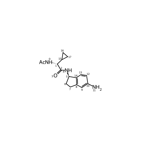 CC(=O)N[C@@H](C(=O)N[C@@H]1CCc2cc(N)ccc21)C1CC1